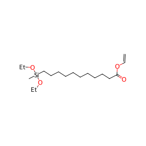 C=COC(=O)CCCCCCCCCC[Si](C)(OCC)OCC